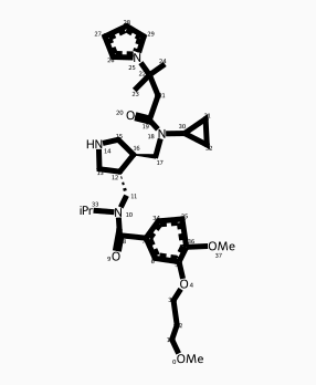 COCCCOc1cc(C(=O)N(C[C@@H]2CNC[C@H]2CN(C(=O)CC(C)(C)n2cccc2)C2CC2)C(C)C)ccc1OC